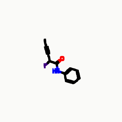 CC#CC(I)C(=O)Nc1ccccc1